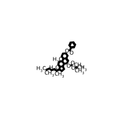 CC(C)CCCC(C)C1CCC2C3C(OC(=O)OC(C)(C)C)C=C4CC(OC(=O)c5ccccc5)CCC4(C)C3CCC12C